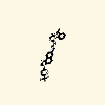 CC(C)c1ccccc1N1/C(=N/N=C/c2ccc3c(ccc4c3ncn4-c3ccc(C(F)(F)F)nn3)c2)SCC1(C)O